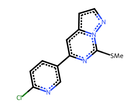 CSc1nc(-c2ccc(Cl)nc2)cc2ccnn12